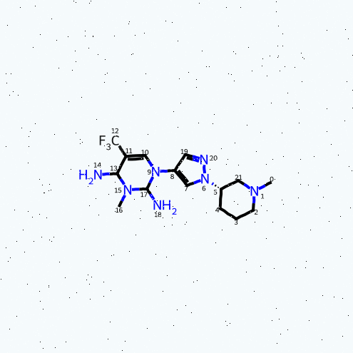 CN1CCC[C@H](n2cc(N3C=C(C(F)(F)F)C(N)N(C)C3N)cn2)C1